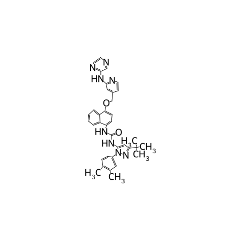 Cc1ccc(-n2nc(C(C)(C)C)cc2NC(=O)Nc2ccc(OCc3ccnc(Nc4cnccn4)c3)c3ccccc23)cc1C